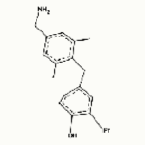 Cc1cc(CN)cc(C)c1Cc1ccc(O)c(C(C)C)c1